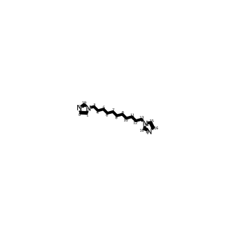 c1cn(CCCCCCCCCCCn2ccnc2)cn1